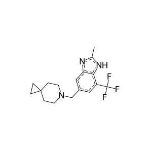 Cc1nc2cc(CN3CCC4(CC3)CC4)cc(C(F)(F)F)c2[nH]1